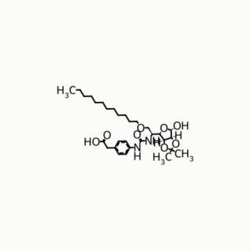 CCCCCCCCCCCCOC[C@H](NC(=O)Nc1ccc(CC(=O)O)cc1)[C@H]1O[C@H](O)[C@H]2OC(C)(C)O[C@@H]12